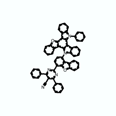 N#Cc1c(-c2ccccc2)nc(-c2ccc(-n3c4ccccc4c4c5c(c6ccccc6n5-c5ccccc5)c5oc6ccccc6c5c43)c3c2oc2ccccc23)nc1-c1ccccc1